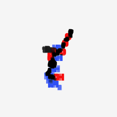 C#CCOCCOCCNC(=O)CC[C@H](NC(=O)c1ccc(NCc2cnc3nc(N)nc(O)c3n2)cc1)C(=O)OC(C)(C)C